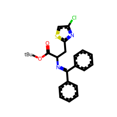 CC(C)(C)OC(=O)C(Cc1nc(Cl)cs1)N=C(c1ccccc1)c1ccccc1